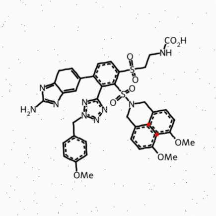 COc1ccc(CN(Cc2ccc(OC)cc2)S(=O)(=O)c2c(S(=O)(=O)CCNC(=O)O)ccc(C3=CCC4=NC(N)=NC4=C3)c2-c2nnn(Cc3ccc(OC)cc3)n2)cc1